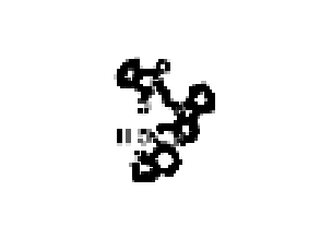 CN(Cc1nccc2c3ccccc3n(CCN3C(=O)c4ccccc4C3=O)c12)[C@H]1CCCc2cccnc21